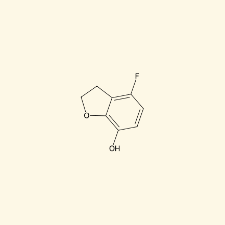 Oc1ccc(F)c2c1OCC2